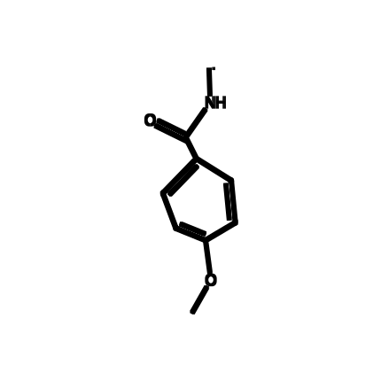 [CH2]NC(=O)c1ccc(OC)cc1